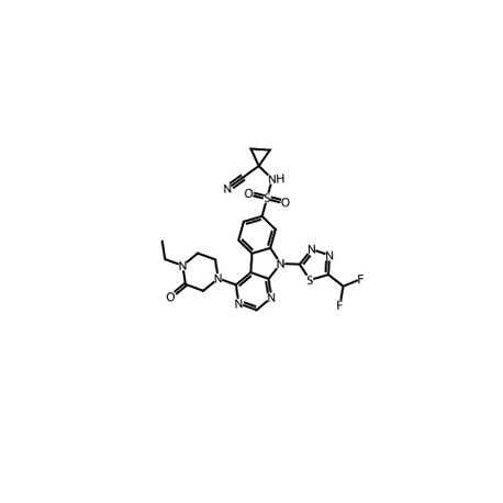 CCN1CCN(c2ncnc3c2c2ccc(S(=O)(=O)NC4(C#N)CC4)cc2n3-c2nnc(C(F)F)s2)CC1=O